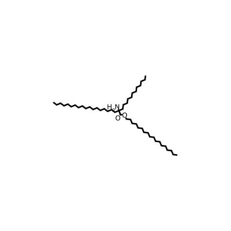 CCCCCCCCCCCCCCCCCCOC(=O)C(N)(CCCCCCCCCCCC)CCCCCCCCCCCCCCCCCC